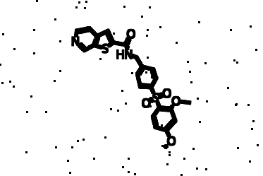 COc1ccc(S(=O)(=O)c2ccc(CNC(=O)c3cc4ccncc4s3)cc2)c(OC)c1